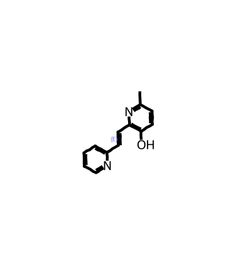 Cc1ccc(O)c(/C=C/c2ccccn2)n1